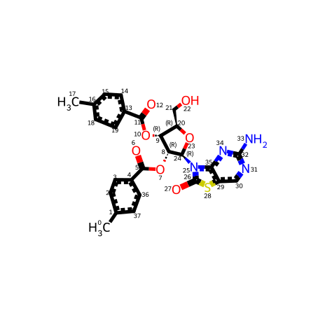 Cc1ccc(C(=O)O[C@@H]2[C@H](OC(=O)c3ccc(C)cc3)[C@@H](CO)O[C@H]2n2c(=O)sc3cnc(N)nc32)cc1